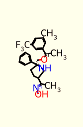 C/C(=N\O)C1CC[C@@](CO[C@H](C)c2cc(C)cc(C(F)(F)F)c2)(c2ccccc2)NC1